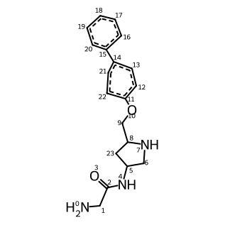 NCC(=O)NC1CNC(COc2ccc(-c3ccccc3)cc2)C1